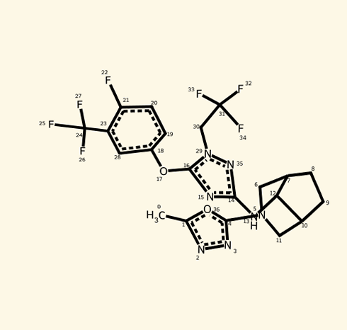 Cc1nnc(N2CC3CCC(C2)C3Nc2nc(Oc3ccc(F)c(C(F)(F)F)c3)n(CC(F)(F)F)n2)o1